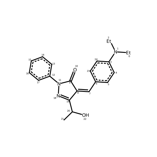 CCN(CC)c1ccc(/C=C2\C(=O)N(c3ccccc3)N=C2C(C)O)cc1